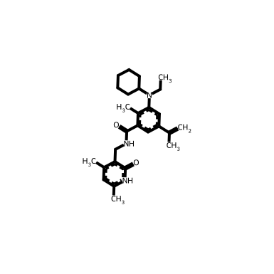 C=C(C)c1cc(C(=O)NCc2c(C)cc(C)[nH]c2=O)c(C)c(N(CC)C2CCCCC2)c1